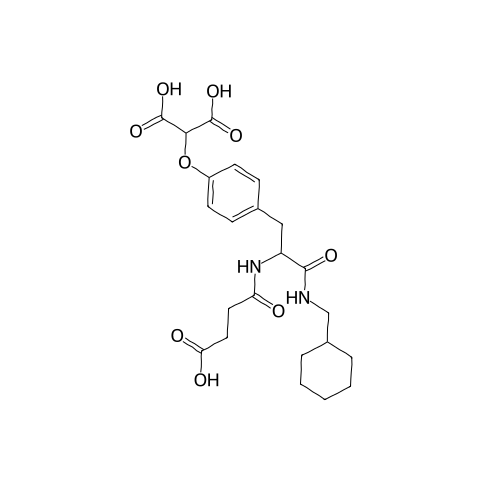 O=C(O)CCC(=O)NC(Cc1ccc(OC(C(=O)O)C(=O)O)cc1)C(=O)NCC1CCCCC1